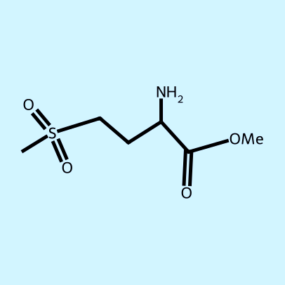 COC(=O)C(N)CCS(C)(=O)=O